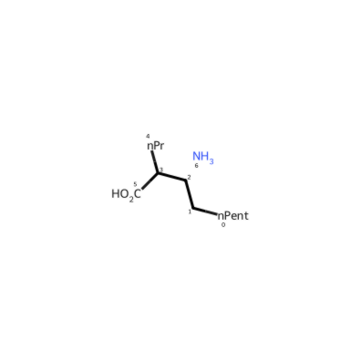 CCCCCCCC(CCC)C(=O)O.N